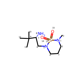 CN1CCCN(C[C@@H](N)C(C)(C)C)S1(=O)=O